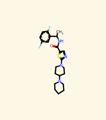 CC(NC(=O)c1cnc(N2CCC(N3CCCCC3)CC2)s1)c1cc(F)ccc1F